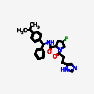 CC(C)c1ccc([C@@H](NC(=O)C2C[C@@H](F)CN2C(=O)CCc2cnc[nH]2)c2ccccc2)cc1